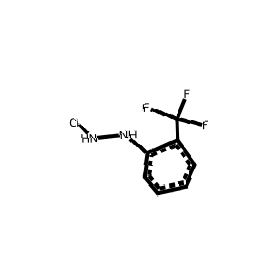 FC(F)(F)c1ccccc1NNCl